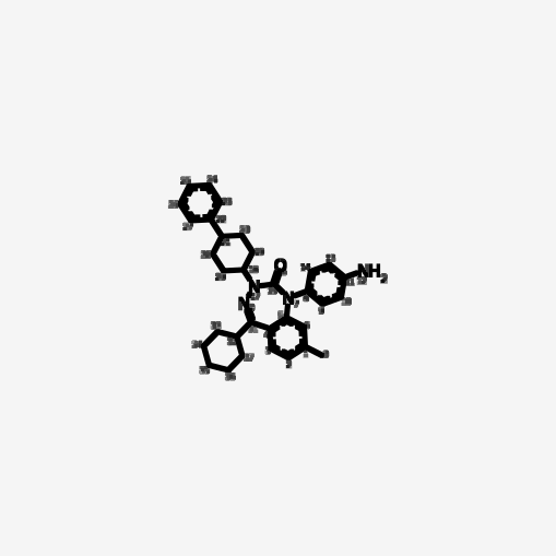 Cc1ccc2c(c1)N(c1ccc(N)cc1)C(=O)N(C1CCC(c3ccccc3)CC1)N=C2C1CCCCC1